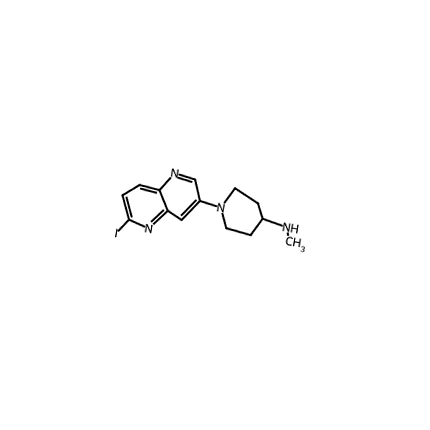 CNC1CCN(c2cnc3ccc(I)nc3c2)CC1